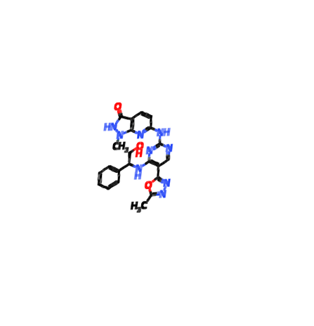 Cc1nnc(-c2cnc(Nc3ccc4c(=O)[nH]n(C)c4n3)nc2N[C@H](CO)c2ccccc2)o1